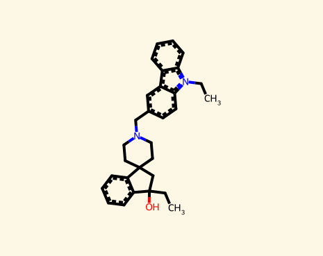 CCn1c2ccccc2c2cc(CN3CCC4(CC3)CC(O)(CC)c3ccccc34)ccc21